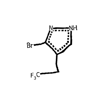 FC(F)(F)Cc1c[nH]nc1Br